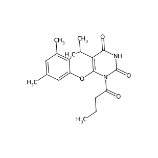 CCCC(=O)n1c(Oc2cc(C)cc(C)c2)c(C(C)C)c(=O)[nH]c1=O